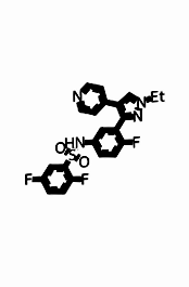 CCn1cc(-c2ccncc2)c(-c2cc(NS(=O)(=O)c3cc(F)ccc3F)ccc2F)n1